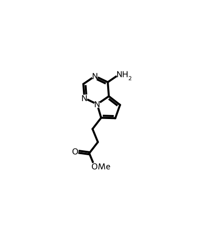 COC(=O)CCc1ccc2c(N)ncnn12